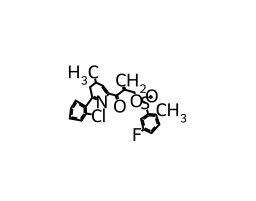 C=C(COS(=O)c1cc(F)ccc1C)C(=O)C1=CC(C)CC(c2ccccc2Cl)=N1